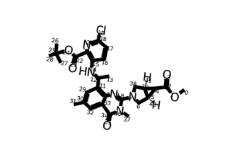 COC(=O)C1[C@H]2CN(c3nc4c(C(C)Nc5ccc(Cl)nc5C(=O)OC(C)(C)C)cc(C)cc4c(=O)n3C)C[C@@H]12